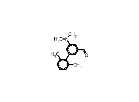 Cc1cccc(C)c1-c1cc(C=O)cc(N(C)C)c1